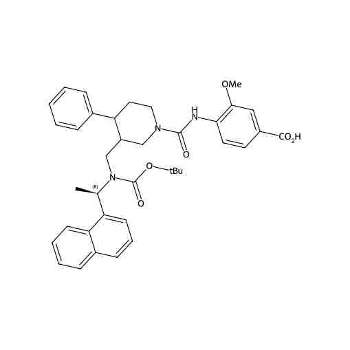 COc1cc(C(=O)O)ccc1NC(=O)N1CCC(c2ccccc2)C(CN(C(=O)OC(C)(C)C)[C@H](C)c2cccc3ccccc23)C1